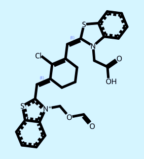 O=COC[n+]1c(/C=C2\CCCC(/C=C3/Sc4ccccc4N3CC(=O)O)=C2Cl)sc2ccccc21